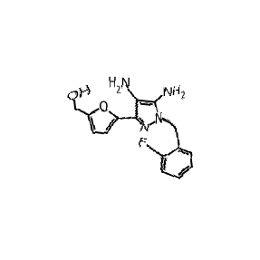 Nc1c(-c2ccc(CO)o2)nn(Cc2ccccc2F)c1N